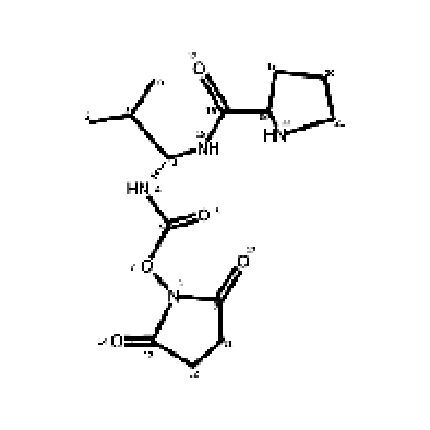 CC(C)[C@@H](NC(=O)ON1C(=O)CCC1=O)NC(=O)C1CCCN1